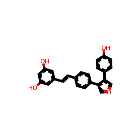 Oc1ccc(-c2cocc2-c2ccc(/C=C/c3cc(O)cc(O)c3)cc2)cc1